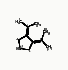 CC(C)=C1CNCC1=C(C)C